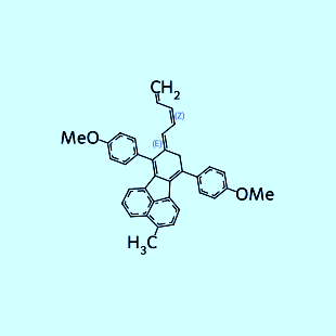 C=C/C=C\C=C1/CC(c2ccc(OC)cc2)=C2C(=C1c1ccc(OC)cc1)c1cccc3c(C)ccc2c13